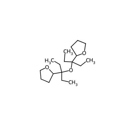 CCC(CC)(OC(CC)(CC)C1CCCO1)C1CCCO1